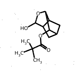 CC(C)(C)C(=O)OC1C2CC3C(O)OC1C3C2